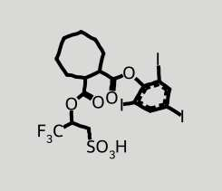 O=C(Oc1c(I)cc(I)cc1I)C1CCCCCCC1C(=O)OC(CS(=O)(=O)O)C(F)(F)F